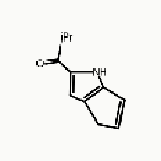 CC(C)C(=O)c1cc2c([nH]1)C=CC2